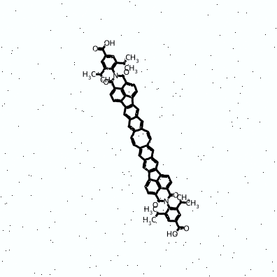 CC(C)c1cc(C(=O)O)cc(C(C)C)c1-n1c(=O)c2ccc3c4cc5cc6ccc7cc8cc9c(cc8cc7ccc6cc5cc4c4ccc(c1=O)c2c34)c1ccc2c(=O)n(-c3c(C(C)C)cc(C(=O)O)cc3C(C)C)c(=O)c3ccc9c1c32